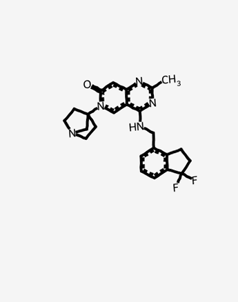 Cc1nc(NCc2cccc3c2CCC3(F)F)c2cn(C34CCN(CC3)C4)c(=O)cc2n1